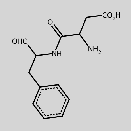 NC(CC(=O)O)C(=O)NC([C]=O)Cc1ccccc1